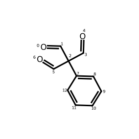 O=CC(C=O)(C=O)c1ccccc1